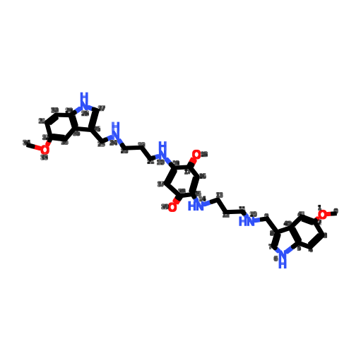 COc1ccc2[nH]cc(CNCCCNC3=CC(=O)C(NCCCNCc4c[nH]c5ccc(OC)cc45)=CC3=O)c2c1